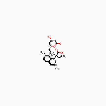 CC[C@](C)(C(=O)O)[C@H]1C[C@@H](C)C=C2C=C[C@H](C)[C@H](CC[C@@H]3C[C@@H](O)CC(=O)O3)[C@@H]21